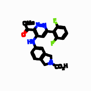 COC(=O)c1nnc(-c2c(F)cccc2F)cc1Nc1ccc2c(c1)CN(C(=O)O)C2